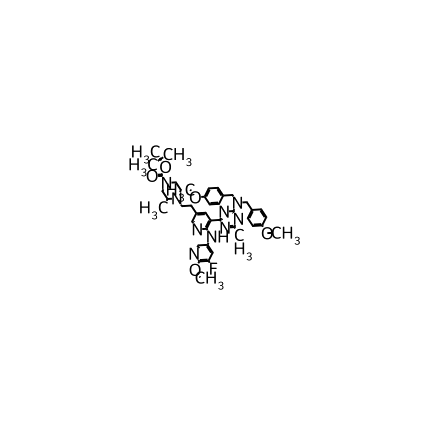 COc1ccc(CN(Cc2ccc(OC)cc2)c2nc(C)nc(-c3cc(CCN4CCN(C(=O)OC(C)(C)C)CC4C)cnc3Nc3cnc(OC)c(F)c3)n2)cc1